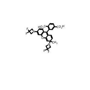 CC1(N2CC(F)(F)C2)C=CC2=C(c3cc(C(=O)O)ccc3C(=O)O)c3ccc(N4CC(F)(F)C4)cc3OC2=C1